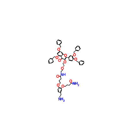 NCCc1ccc(OCCCC(=O)NCCOCCOc2c(-c3ccc(OCc4ccccc4)c(OCc4ccccc4)c3)oc3cc(OCc4ccccc4)cc(OCc4ccccc4)c3c2=O)c(OCCCC(N)=O)c1